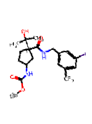 CC(C)(C)OC(=O)NC1CC[C@@](C(=O)NCc2cc(I)cc(C(F)(F)F)c2)(C(C)(C)O)C1